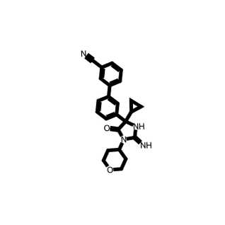 N#Cc1cccc(-c2cccc(C3(C4CC4)NC(=N)N(C4CCOCC4)C3=O)c2)c1